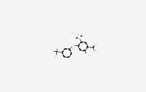 Cc1cc(Nc2cccc(C(F)(F)F)c2)c(S(C)(=O)=O)cc1C(=O)Cl